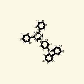 C1=C[C@H](c2nc(-c3ccccc3)nc(-c3ccccc3)n2)CC=C1n1c2ccccc2c2ccccc21